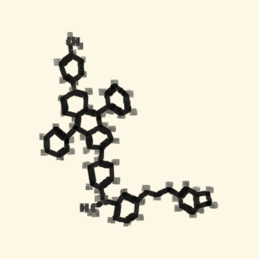 Cc1ccc(-c2ccc3c(-c4ccccc4)c4cc(-c5ccc(N(C)c6cccc(CCCc7ccc8c(c7)CC8)c6)cc5)ccc4c(-c4ccccc4)c3c2)cc1